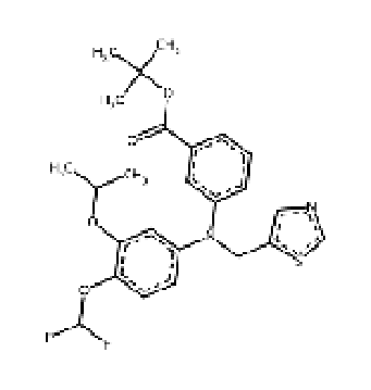 CC(C)Oc1cc(N(Cc2cncs2)c2cccc(C(=O)OC(C)(C)C)c2)ccc1OC(F)F